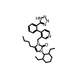 CCCCc1cn(C2C(CC)CCCC2CC)c(=O)n1Cc1cnccc1-c1ccccc1-c1nnn[nH]1